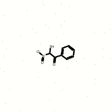 O=C(c1ccccc1)C(S)[N+](=O)[O-]